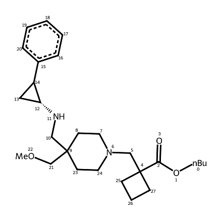 CCCCOC(=O)C1(CN2CCC(CN[C@@H]3CC3c3ccccc3)(COC)CC2)CCC1